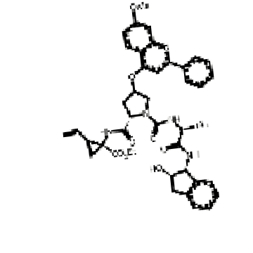 C=CC1C[C@]1(NC(=O)[C@@H]1C[C@@H](Oc2cc(-c3ccccc3)nc3cc(OC)ccc23)CN1C(=O)N[C@H](C(=O)N[C@H]1c2ccccc2C[C@H]1O)C(C)(C)C)C(=O)OCC